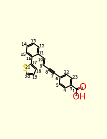 O=C(O)c1ccc(C#C/C=C/c2ccccc2-c2cccs2)cc1